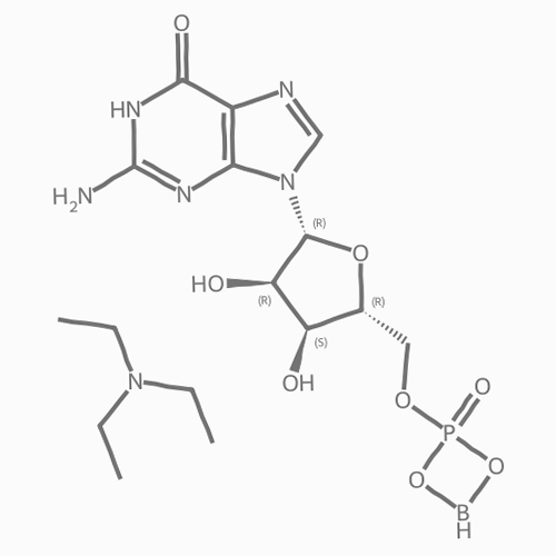 CCN(CC)CC.Nc1nc2c(ncn2[C@@H]2O[C@H](COP3(=O)OBO3)[C@@H](O)[C@H]2O)c(=O)[nH]1